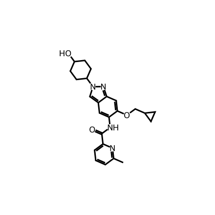 Cc1cccc(C(=O)Nc2cc3cn(C4CCC(O)CC4)nc3cc2OCC2CC2)n1